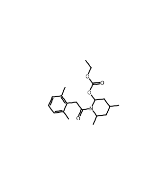 CCOC(=O)OC1CC(C)CC(C)N1C(=O)Cc1c(C)cccc1C